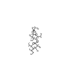 CCC(C)C1C(CC)OC(OC2C(CC)OC(OC(C)(C)CC)C(C)C2C)C(C)C1C